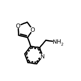 NCc1ncccc1C1=COCO1